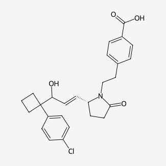 O=C(O)c1ccc(CCN2C(=O)CC[C@@H]2/C=C/C(O)C2(c3ccc(Cl)cc3)CCC2)cc1